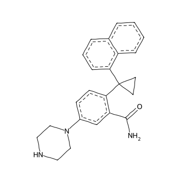 NC(=O)c1cc(N2CCNCC2)ccc1C1(c2cccc3ccccc23)CC1